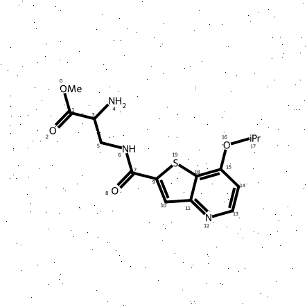 COC(=O)C(N)CNC(=O)c1cc2nccc(OC(C)C)c2s1